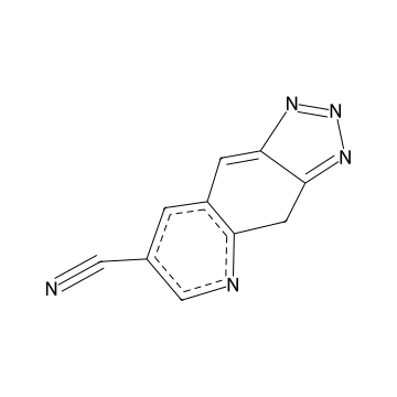 N#Cc1cnc2c(c1)C=C1N=NN=C1C2